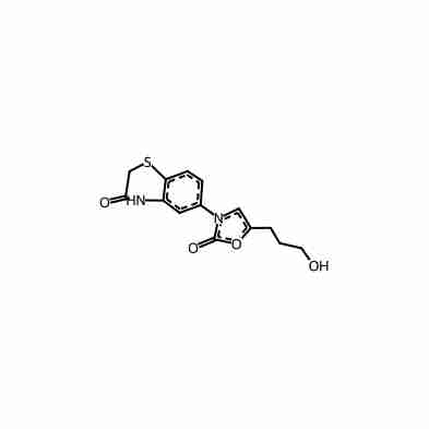 O=C1CSc2ccc(-n3cc(CCCO)oc3=O)cc2N1